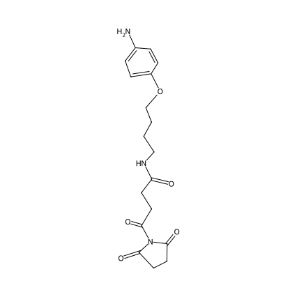 Nc1ccc(OCCCCNC(=O)CCC(=O)N2C(=O)CCC2=O)cc1